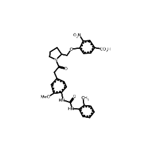 COc1cc(CC(=O)N2CCCC2COc2ccc(C(=O)O)cc2[N+](=O)[O-])ccc1NC(=O)Nc1ccccc1C